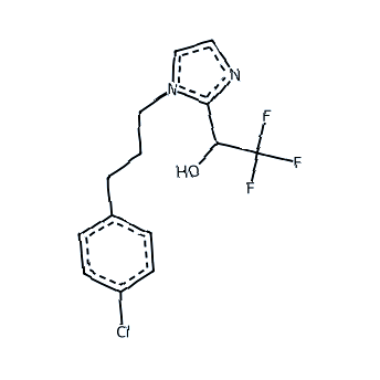 OC(c1nccn1CCCc1ccc(Cl)cc1)C(F)(F)F